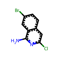 Nc1nc(Cl)cc2ccc(Br)cc12